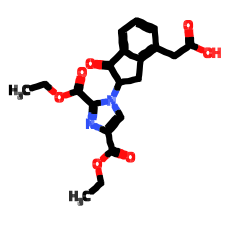 CCOC(=O)c1cn(C2Cc3c(CC(=O)O)cccc3C2=O)c(C(=O)OCC)n1